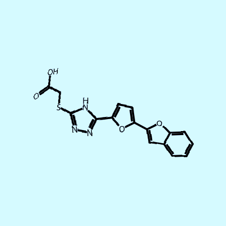 O=C(O)CSc1nnc(-c2ccc(-c3cc4ccccc4o3)o2)[nH]1